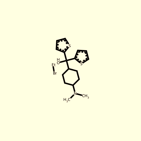 CCBr.CN(C)C1CCC(C(O)(c2cccs2)c2cccs2)CC1